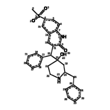 CS(=O)(=O)c1ccc2[nH]c(=O)c(C(c3ccccc3)C3(O)CCNC(Cc4ccccc4)C3)cc2c1